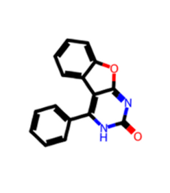 O=c1nc2oc3ccccc3c2c(-c2ccccc2)[nH]1